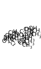 CC[C@H](C)[C@@H]([C@@H](CC(=O)N1CCCC1[C@H](OC)[C@@H](C)C(=O)NC(Cc1ccccc1)C(N)=O)OC)N(C)C(=O)C(NC(=O)[C@H]([C@@H](C)O)N(C)C)C(C)C